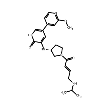 COc1cc(-c2c[nH]c(=O)c(N[C@@H]3CCN(C(=O)C=CCNC(C)C)C3)c2)ccn1